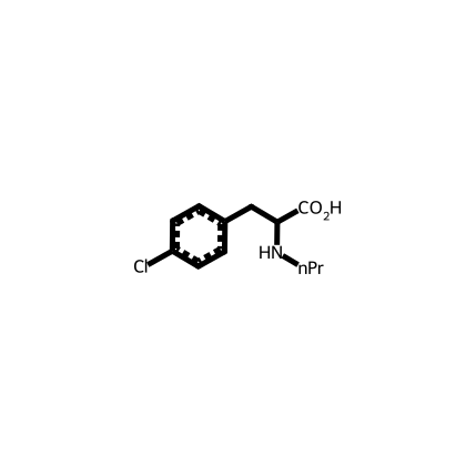 CCCNC(Cc1ccc(Cl)cc1)C(=O)O